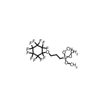 CO[Si](CCCOC1(F)C(F)(F)C(F)(F)C(F)(F)C(F)(F)C1(F)F)(OC)OC